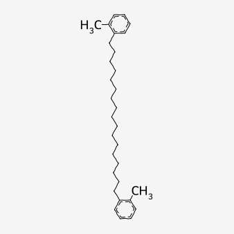 Cc1ccccc1CCCCCCCCCCCCCCCCCc1ccccc1C